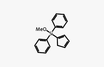 CO[Si](C1=CC=CC1)(c1ccccc1)c1ccccc1